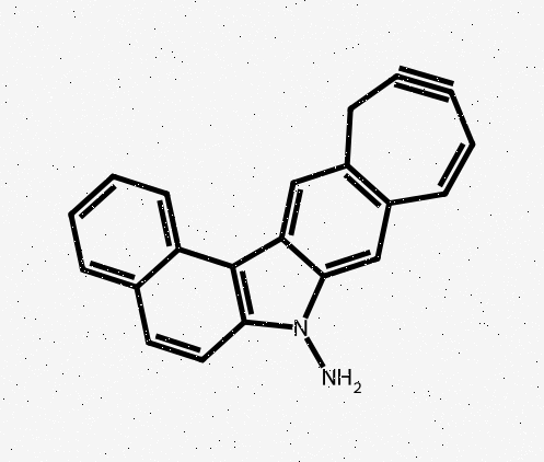 Nn1c2cc3c(cc2c2c4ccccc4ccc21)CC#CC=C3